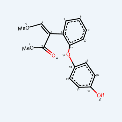 COC=C(C(=O)OC)c1ccccc1Oc1ccc(O)cc1